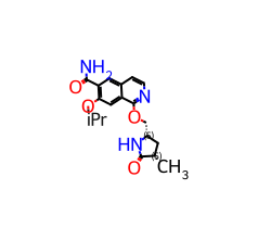 CC(C)Oc1cc2c(OC[C@@H]3C[C@H](C)C(=O)N3)nccc2cc1C(N)=O